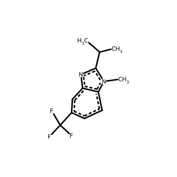 CC(C)c1nc2cc(C(F)(F)F)ccc2n1C